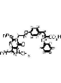 CCCc1nn(C)c2c(=O)n(CCOc3ccc(CC(Oc4ccccc4)C(=O)O)cc3)c(CCC)nc12